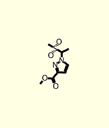 COC(=O)c1ccn(C(C)S(C)(=O)=O)n1